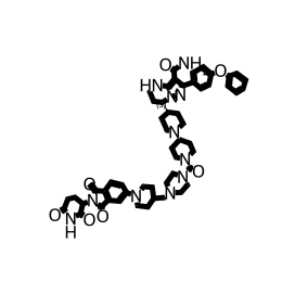 NC(=O)c1c(-c2ccc(Oc3ccccc3)cc2)nn2c1NCC[C@H]2C1CCN(C2CCN(C(=O)N3CCN(CC4CCN(c5ccc6c(c5)C(=O)N(C5CCC(=O)NC5=O)C6=O)CC4)CC3)CC2)CC1